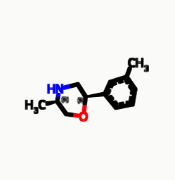 Cc1cccc([C@@H]2CN[C@H](C)CO2)c1